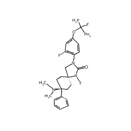 CN(C)[C@]1(c2ccccc2)CC[C@]2(CC1)CN(c1ccc(OC(F)(P)P)cc1F)C(=O)N2F